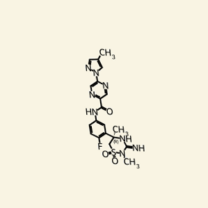 Cc1cnn(-c2cnc(C(=O)Nc3ccc(F)c([C@]4(C)CS(=O)(=O)N(C)C(=N)N4)c3)cn2)c1